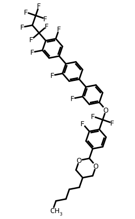 CCCCCC1COC(c2ccc(C(F)(F)Oc3ccc(-c4ccc(-c5cc(F)c(C(F)(F)C(F)C(F)(F)F)c(F)c5)c(F)c4)c(F)c3)c(F)c2)OC1